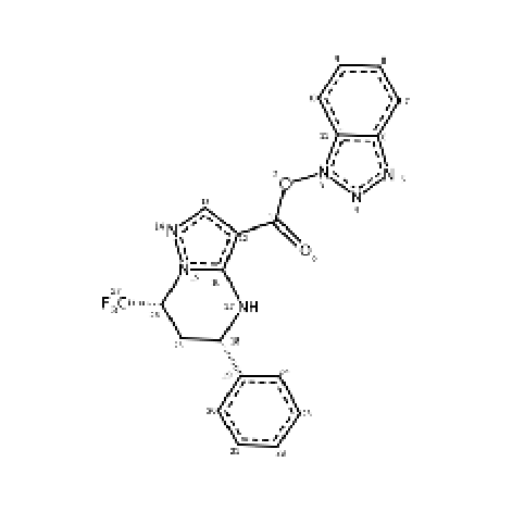 O=C(On1nnc2ccccc21)c1cnn2c1N[C@H](c1ccccc1)C[C@@H]2C(F)(F)F